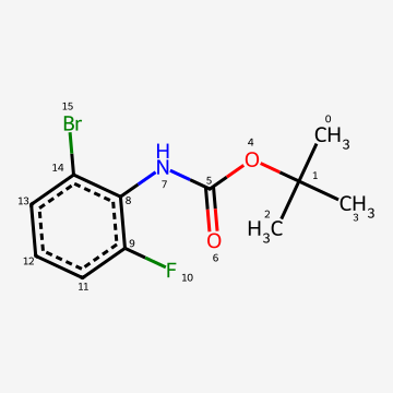 CC(C)(C)OC(=O)Nc1c(F)cccc1Br